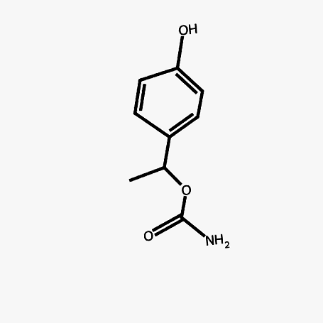 CC(OC(N)=O)c1ccc(O)cc1